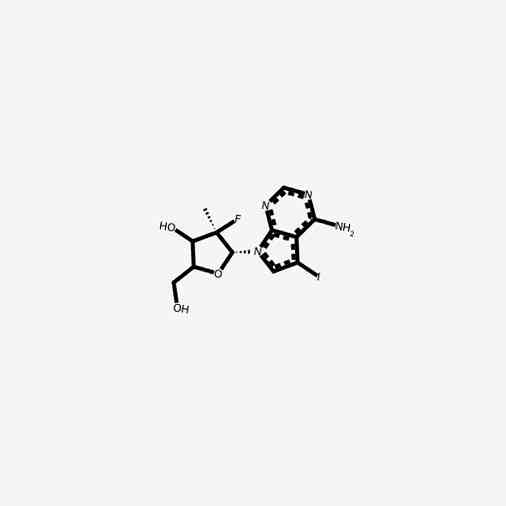 C[C@@]1(F)C(O)C(CO)O[C@H]1n1cc(I)c2c(N)ncnc21